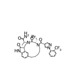 CC(C)C[C@H]1C(=O)N2C[C@]3(C[C@H]2C(N)=O)C(=O)Nc2ccc(cc23)CCCCCN1C(=O)c1cnn(-c2ccccc2C(F)(F)F)c1